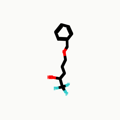 OC(CCCOCc1ccccc1)C(F)(F)F